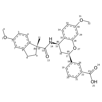 COc1ccc2c(c1)CC[C@@]2(C)C(=O)N[C@@H]1C[C@H](c2cccc(C(=O)O)c2)Oc2cc(OC)ccc21